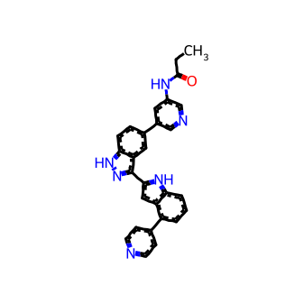 CCC(=O)Nc1cncc(-c2ccc3[nH]nc(-c4cc5c(-c6ccncc6)cccc5[nH]4)c3c2)c1